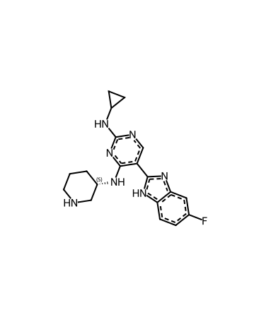 Fc1ccc2[nH]c(-c3cnc(NC4CC4)nc3N[C@H]3CCCNC3)nc2c1